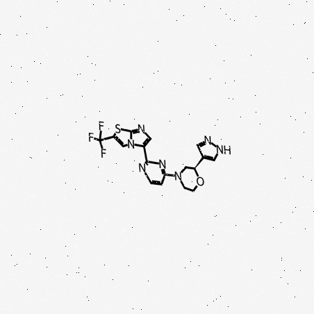 FC(F)(F)c1cn2c(-c3nccc(N4CCO[C@H](c5cn[nH]c5)C4)n3)cnc2s1